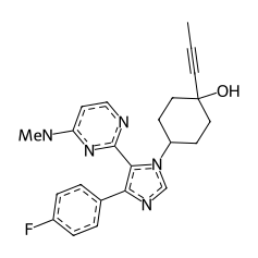 CC#CC1(O)CCC(n2cnc(-c3ccc(F)cc3)c2-c2nccc(NC)n2)CC1